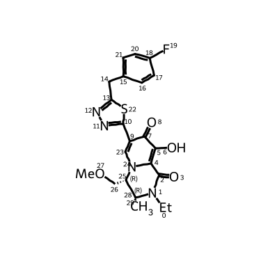 CCN1C(=O)c2c(O)c(=O)c(-c3nnc(Cc4ccc(F)cc4)s3)cn2[C@@H](COC)[C@H]1C